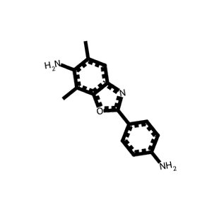 Cc1cc2nc(-c3ccc(N)cc3)oc2c(C)c1N